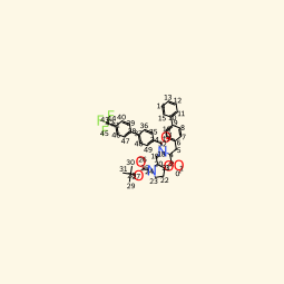 COC(=O)[C@H](Cc1ccc(-c2ccccc2)cc1)N(C[C@H]1CCCN1C(=O)OC(C)(C)C)C(=O)c1ccc(-c2ccc(C(F)(F)F)cc2)cc1